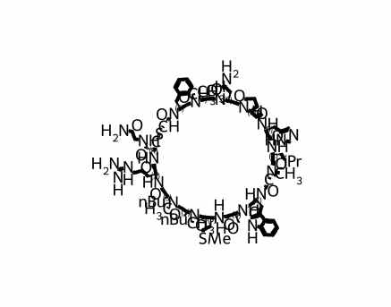 CCCC[C@H]1C(=O)N(C)[C@@H](CCCC)C(=O)N[C@@H](CCCNC(=N)N)C(=O)N[C@H](C(=O)NCC(N)=O)CSCC(=O)N[C@@H](Cc2ccccc2)C(=O)N(C)[C@@H](C)C(=O)N[C@@H](CC(N)=O)C(=O)N2CCC[C@H]2C(=O)N[C@@H](Cc2cnc[nH]2)C(=O)N[C@@H](CC(C)C)C(=O)N(C)CC(=O)N[C@@H](Cc2c[nH]c3ccccc23)C(=O)N[C@@H](CO)C(=O)N[C@@H](CCSC)C(=O)N1C